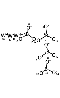 [O-]B([O-])[O-].[O-]B([O-])[O-].[O-]B([O-])[O-].[O-]B([O-])[O-].[W+4].[W+4].[W+4]